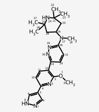 COc1nc(-c2cn[nH]c2)ccc1-c1ccc(N(C)C2CC(C)(C)NC(C)(C)C2)nn1